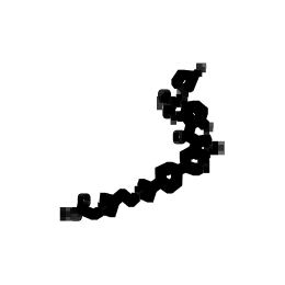 O=C(O)CN1CC(CCN2CC(c3ccc(-c4cnc5[nH]cc(C(=O)c6c(F)ccc(N(N7CC[C@@H](F)C7)[SH](=O)=O)c6F)c5c4)cc3)C2)C1